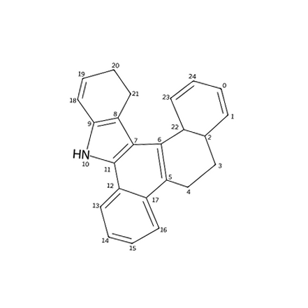 C1=CC2CCc3c(c4c5c([nH]c4c4ccccc34)C=CCC5)C2C=C1